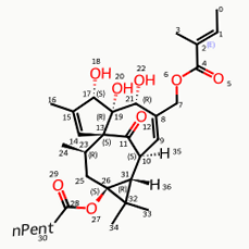 C/C=C(\C)C(=O)OCC1=C[C@@H]2C(=O)[C@]3(C=C(C)[C@H](O)[C@@]3(O)[C@@H]1O)[C@H](C)C[C@]1(OC(=O)CCCCC)[C@H]2C1(C)C